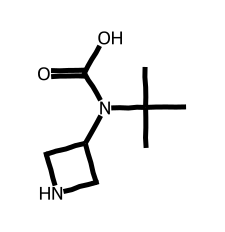 CC(C)(C)N(C(=O)O)C1CNC1